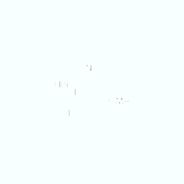 Br.COc1ccc(Cl)c(Cl)c1-c1cccnc1